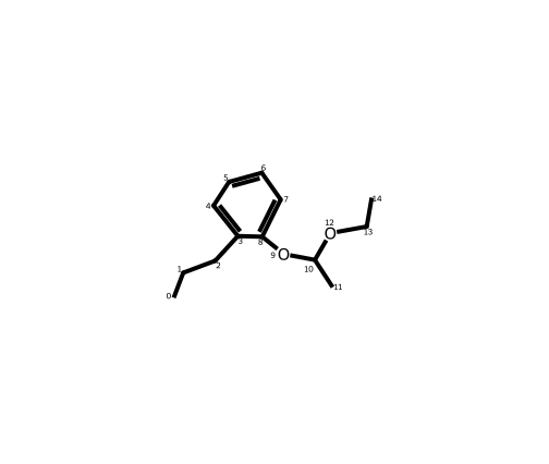 CCCc1ccccc1OC(C)OCC